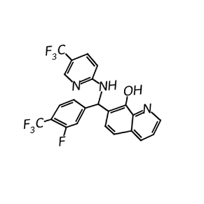 Oc1c(C(Nc2ccc(C(F)(F)F)cn2)c2ccc(C(F)(F)F)c(F)c2)ccc2cccnc12